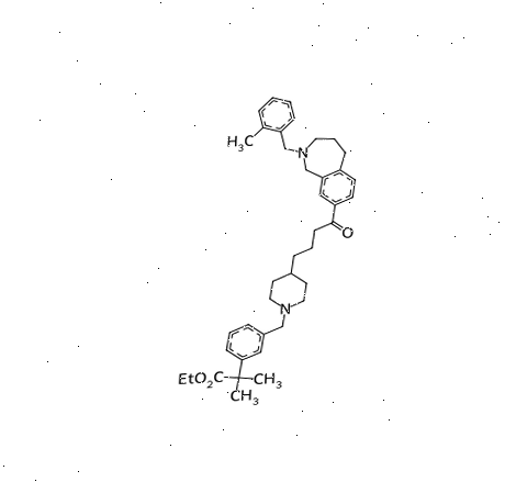 CCOC(=O)C(C)(C)c1cccc(CN2CCC(CCCC(=O)c3ccc4c(c3)CN(Cc3ccccc3C)CCC4)CC2)c1